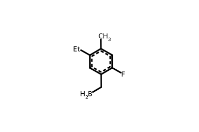 BCc1cc(CC)c(C)cc1F